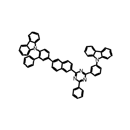 c1ccc(-c2nc(-c3cccc(-n4c5ccccc5c5ccccc54)c3)nc(-c3ccc4cc(-c5ccc(-n6c7ccccc7c7ccccc76)c(-c6ccccc6)c5)ccc4c3)n2)cc1